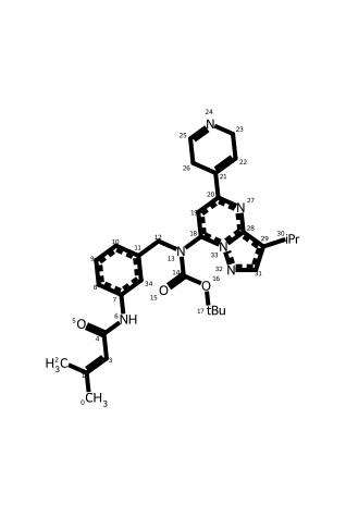 CC(C)=CC(=O)Nc1cccc(CN(C(=O)OC(C)(C)C)c2cc(C3=CCN=CC3)nc3c(C(C)C)cnn23)c1